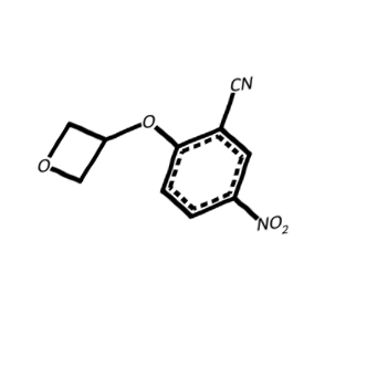 N#Cc1cc([N+](=O)[O-])ccc1OC1COC1